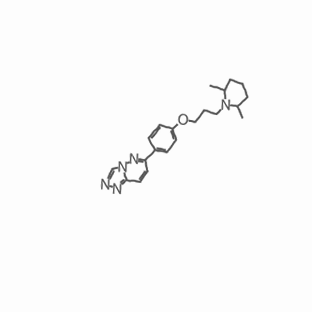 CC1CCCC(C)N1CCCOc1ccc(-c2ccc3nncn3n2)cc1